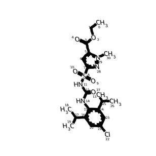 CCOC(=O)c1cc(S(=O)(=O)NC(=O)Nc2c(C(C)C)cc(Cl)cc2C(C)C)nn1C